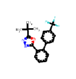 CC(C)(C)c1nnc(-c2[c]cccc2-c2ccc(C(F)(F)F)cc2)o1